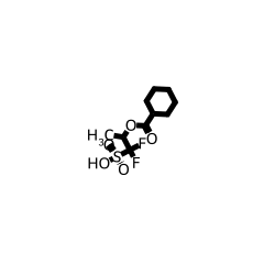 CC(OC(=O)C1CCCCC1)C(F)(F)S(=O)(=O)O